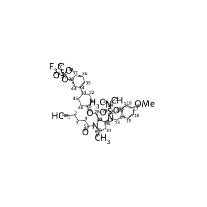 C#CCCCC(=O)N1[C@H](C)C[C@H](N(Cc2ccc(OC)cc2)S(=O)(=O)N(C)C)[C@@H]1COC1CCC(c2cccc(OS(=O)(=O)C(F)(F)F)c2)CC1